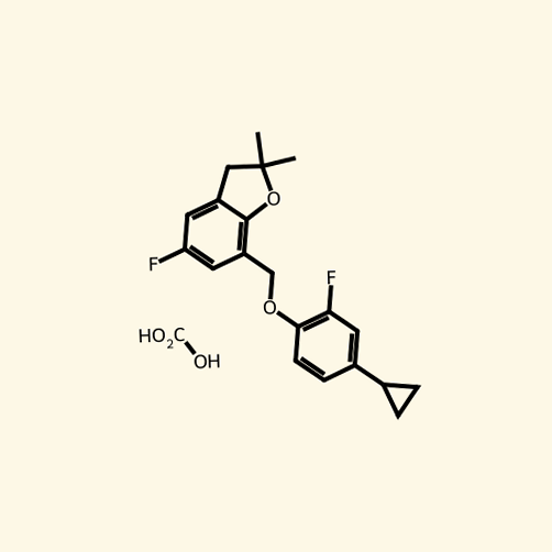 CC1(C)Cc2cc(F)cc(COc3ccc(C4CC4)cc3F)c2O1.O=C(O)O